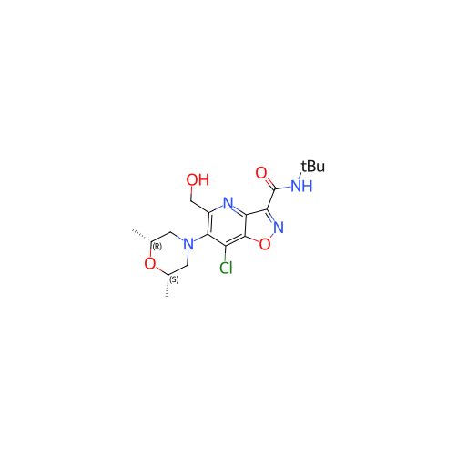 C[C@@H]1CN(c2c(CO)nc3c(C(=O)NC(C)(C)C)noc3c2Cl)C[C@H](C)O1